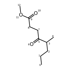 CCCC(C)C(=O)CCC(=O)OC